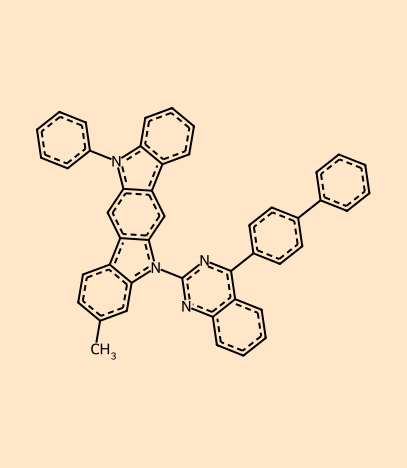 Cc1ccc2c3cc4c(cc3n(-c3nc(-c5ccc(-c6ccccc6)cc5)c5ccccc5n3)c2c1)c1ccccc1n4-c1ccccc1